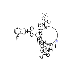 CC(C)(C)OC(=O)N[C@H]1CCCCC/C=C\[C@@H]2C[C@@]2(C(=O)NS(=O)(=O)C2CC2)NC(=O)[C@@H]2CC(OC(=O)N3Cc4cccc(F)c4C3)CN2C1=O